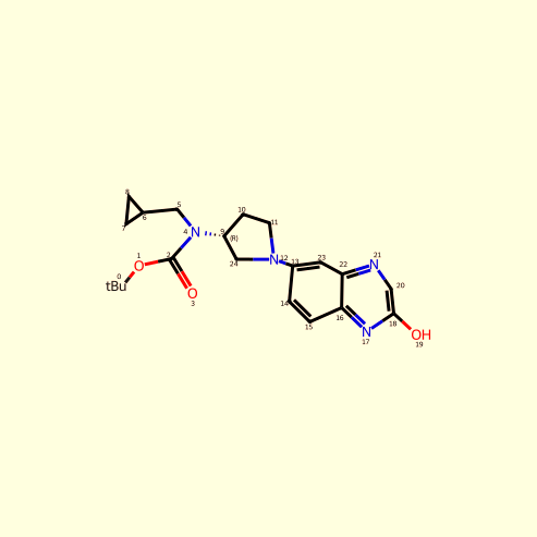 CC(C)(C)OC(=O)N(CC1CC1)[C@@H]1CCN(c2ccc3nc(O)cnc3c2)C1